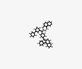 C1=c2ccc3ccccc3c2=CCC1N(c1ccc(-n2c3ccccc3c3c4ccccc4ccc32)cc1)c1cccc(-c2ccccc2)c1